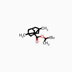 CC(OC(=O)C12CC3CC(C)(CC(C)(C3)C1)C2)C(C)(C)C